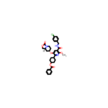 COc1nc(C2CCC(OC(=O)c3ccccc3)CC2)c(O[C@H]2CCN3C(=O)OC[C@@H]3C2)cc1C(=O)NCc1ccc(Cl)cc1